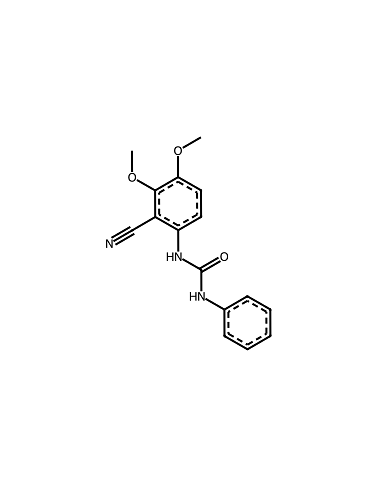 COc1ccc(NC(=O)Nc2ccccc2)c(C#N)c1OC